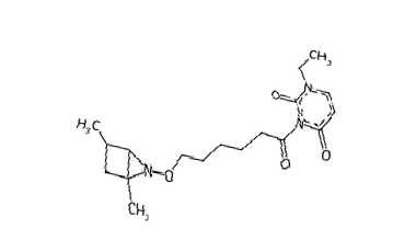 CCn1ccc(=O)n(C(=O)CCCCCON2C3C(C)CC32C)c1=O